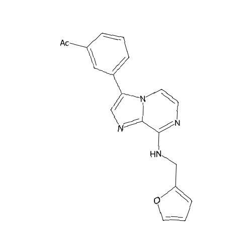 CC(=O)c1cccc(-c2cnc3c(NCc4ccco4)nccn23)c1